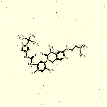 Cc1cc(F)c(NC(=O)Nc2cnn(C(C)(C)C)c2)cc1N1Cc2cnc(NCCN(C)C)cc2N(C)C1=O